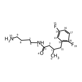 CC(CC(=O)NCCCCN)Cc1cc(F)ccc1F